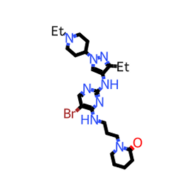 CCc1nn(C2CCN(CC)CC2)cc1Nc1ncc(Br)c(NCCCN2CCCCC2=O)n1